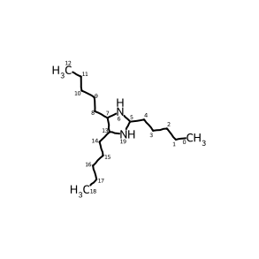 CCCCCC1NC(CCCCC)C(CCCCC)N1